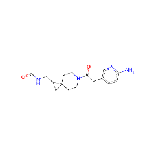 Nc1ccc(CC(=O)N2CCC3(CC2)CC3CNC=O)cn1